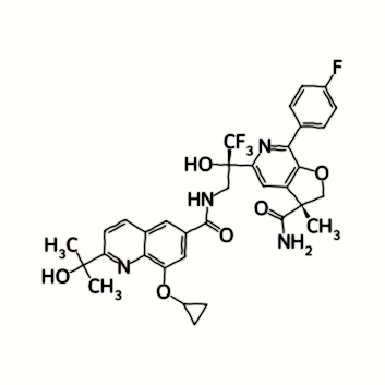 CC(C)(O)c1ccc2cc(C(=O)NC[C@](O)(c3cc4c(c(-c5ccc(F)cc5)n3)OC[C@]4(C)C(N)=O)C(F)(F)F)cc(OC3CC3)c2n1